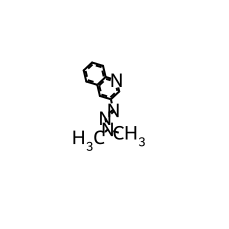 CN(C)N=Nc1cnc2ccccc2c1